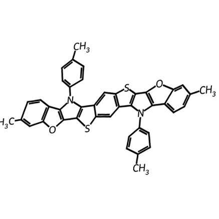 Cc1ccc(-n2c3c4ccc(C)cc4oc3c3sc4cc5c(cc4c32)sc2c3oc4cc(C)ccc4c3n(-c3ccc(C)cc3)c52)cc1